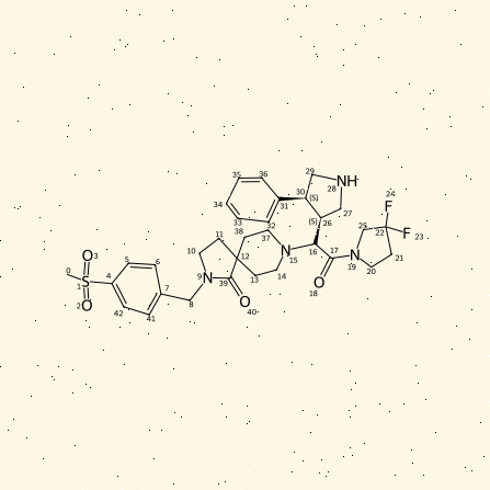 CS(=O)(=O)c1ccc(CN2CCC3(CCN(C(C(=O)N4CCC(F)(F)C4)[C@@H]4CNC[C@@H]4c4ccccc4)CC3)C2=O)cc1